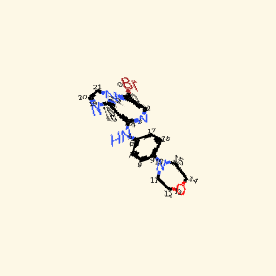 Brc1cnc(Nc2ccc(N3CCOCC3)cc2)c2nccn12